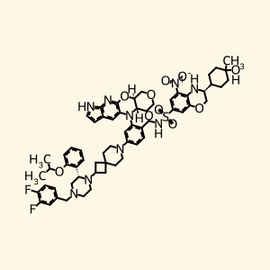 CC(C)Oc1ccccc1[C@H]1CN(Cc2ccc(F)c(F)c2)CCN1C1CC2(CCN(c3ccc(C(=O)NS(=O)(=O)c4cc5c(c([N+](=O)[O-])c4)N[C@@H](C4CCC(C)(O)CC4)CO5)c(N4c5cc6cc[nH]c6nc5O[C@H]5COCC[C@@H]54)c3)CC2)C1